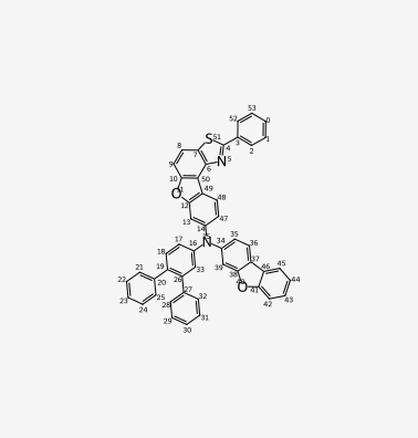 c1ccc(-c2nc3c(ccc4oc5cc(N(c6ccc(-c7ccccc7)c(-c7ccccc7)c6)c6ccc7c(c6)oc6ccccc67)ccc5c43)s2)cc1